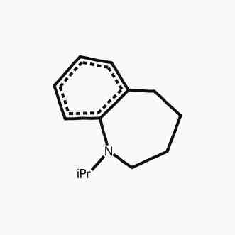 CC(C)N1CCCCc2ccccc21